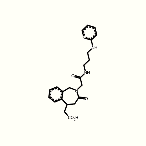 O=C(O)CC1CC(=O)N(CC(=O)NCCCNc2ccccn2)Cc2ccccc21